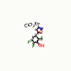 CCOC(=O)c1cc(-c2cc(F)c(F)c(O)c2F)on1